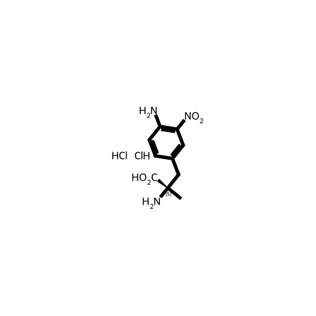 C[C@](N)(Cc1ccc(N)c([N+](=O)[O-])c1)C(=O)O.Cl.Cl